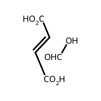 O=C(O)/C=C/C(=O)O.O=CO